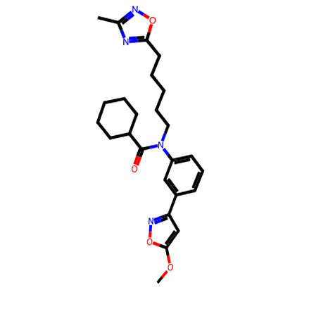 COc1cc(-c2cccc(N(CCCCCc3nc(C)no3)C(=O)C3CCCCC3)c2)no1